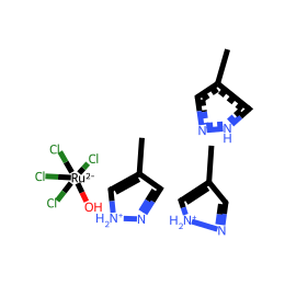 CC1=C[NH2+]N=C1.CC1=C[NH2+]N=C1.Cc1cn[nH]c1.[OH][Ru-2]([Cl])([Cl])([Cl])[Cl]